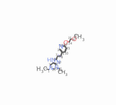 CCN1Cc2[nH]c(/C=C/c3ccc(OCCOC)nc3)nc2N(CC)C1